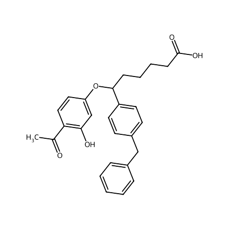 CC(=O)c1ccc(OC(CCCCC(=O)O)c2ccc(Cc3ccccc3)cc2)cc1O